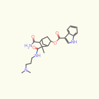 CN(C)CCCNC(=O)C1(C)C2CC(CC2OC(=O)c2c[nH]c3ccccc23)C1C(N)=O